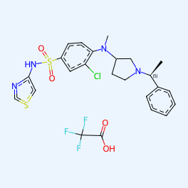 C[C@@H](c1ccccc1)N1CCC(N(C)c2ccc(S(=O)(=O)Nc3cscn3)cc2Cl)C1.O=C(O)C(F)(F)F